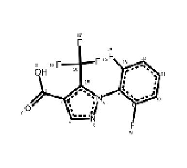 O=C(O)c1cnn(-c2c(F)cccc2F)c1C(F)(F)F